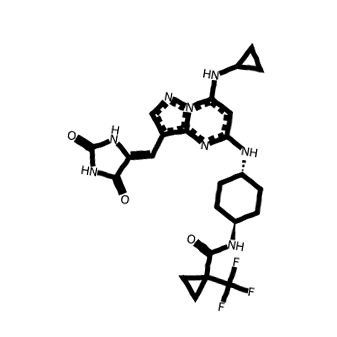 O=C1NC(=O)/C(=C/c2cnn3c(NC4CC4)cc(N[C@H]4CC[C@H](NC(=O)C5(C(F)(F)F)CC5)CC4)nc23)N1